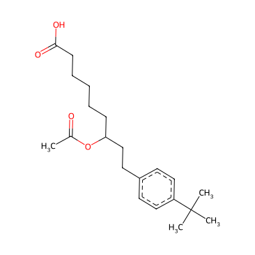 CC(=O)OC(CCCCCC(=O)O)CCc1ccc(C(C)(C)C)cc1